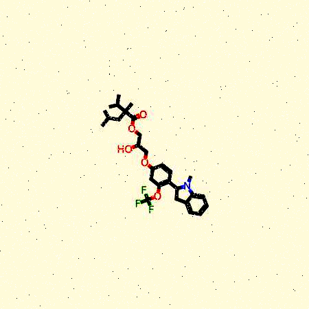 CC(C)CC(C)(C(=O)OCC(O)COC1C=CC(C2Cc3ccccc3N2C)=C(OC(F)(F)F)C1)C(C)C